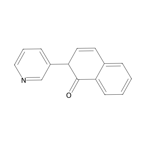 O=C1c2ccccc2C=CC1c1cccnc1